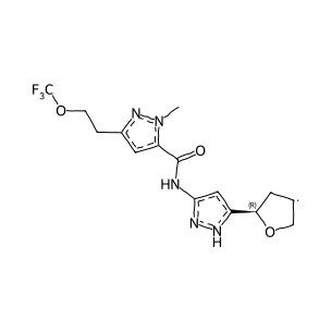 Cn1nc(CCOC(F)(F)F)cc1C(=O)Nc1cc([C@H]2C[CH]CO2)[nH]n1